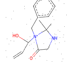 C=CC(O)[N+]1(Cc2ccccc2)C(=O)CNC1(C)C